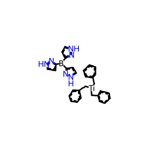 c1cc(B(c2cc[nH]n2)c2cc[nH]n2)n[nH]1.c1ccc([CH2][Ti]([CH2]c2ccccc2)[CH2]c2ccccc2)cc1